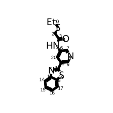 CCSCC(=O)Nc1cncc(-c2nc3ccccc3s2)c1